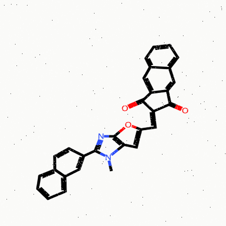 Cn1c(-c2ccc3ccccc3c2)nc2oc(C=C3C(=O)c4cc5ccccc5cc4C3=O)cc21